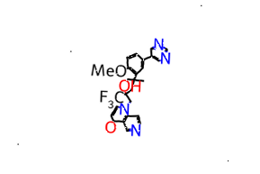 COc1ccc(-c2cncnc2)cc1C(C)(C)CC(O)(Cn1ccc(=O)c2cnccc21)C(F)(F)F